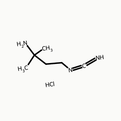 CC(C)(N)CCN=C=N.Cl